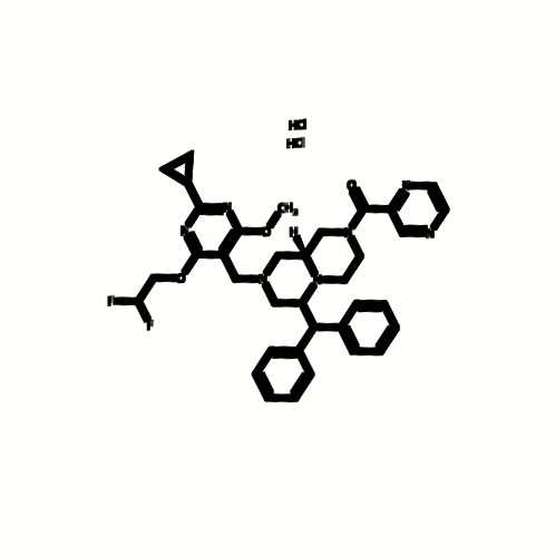 COc1nc(C2CC2)nc(OCC(F)F)c1CN1CC(C(c2ccccc2)c2ccccc2)N2CCN(C(=O)c3cnccn3)C[C@H]2C1.Cl.Cl